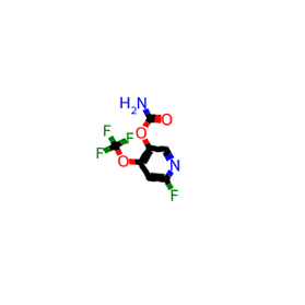 NC(=O)Oc1cnc(F)cc1OC(F)(F)F